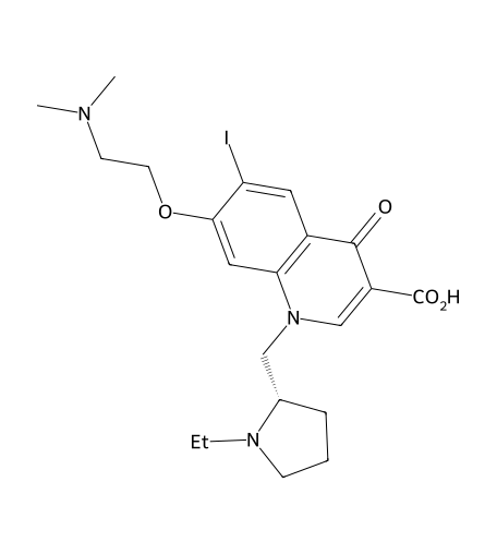 CCN1CCC[C@H]1Cn1cc(C(=O)O)c(=O)c2cc(I)c(OCCN(C)C)cc21